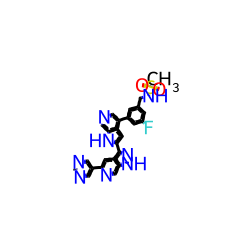 CS(=O)(=O)NCc1cc(F)cc(-c2cncc3[nH]c(-c4n[nH]c5cnc(-c6cncnc6)cc45)cc23)c1